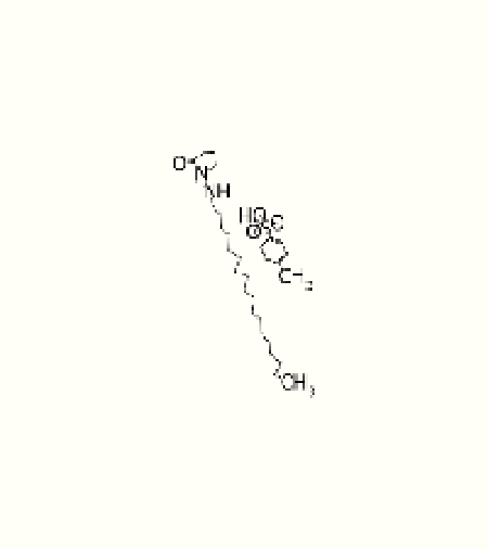 CCCCCCCCCCCCCCCCCCNCN1CCCC1=O.Cc1ccc(S(=O)(=O)O)cc1